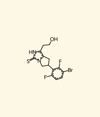 OCCc1[nH]c(=S)n2c1CC(c1c(F)ccc(Br)c1F)C2